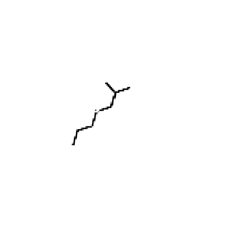 CCCO[CH]C(C)C